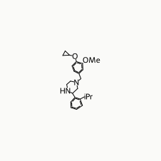 COc1cc(CN2CCNC(c3ccccc3C(C)C)C2)ccc1OC1CC1